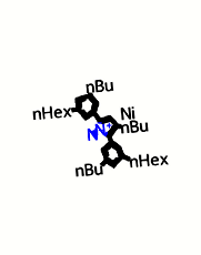 CCCCCCc1cc(CCCC)cc(C2=CC(CCCC)=C(c3cc(CCCC)cc(CCCCCC)c3)[N+]2=[N-])c1.[Ni]